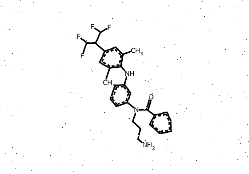 Cc1cc(C(C(F)F)C(F)F)cc(C)c1Nc1cccc(N(CCCN)C(=O)c2ccccc2)c1